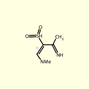 CN/C=C(\C(C)=N)[SH](=O)=O